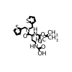 CC(C)(C)OC(=O)N[C@@H](CCNC(=O)O)C(=O)N(Cc1cccs1)Cc1cccs1